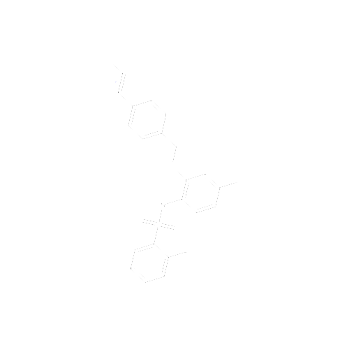 CCc1ccccc1S(=O)(=O)Nc1ccc(C(F)(F)F)cc1OCc1ccc(/C=C/C(=O)O)cc1